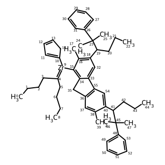 CCCC[C](CCCC)=[Zr]([C]1=CC=CC1)[c]1c(C)c(C(CCC)C(C)(C)c2ccccc2)cc2c1Cc1cc(C)c(C(CCC)C(C)(C)c3ccccc3)cc1-2